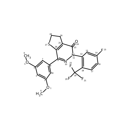 COc1cc(OC)cc(-c2nn(-c3cc(F)ccc3C(F)(F)F)c(=O)c3c2SCC3)c1